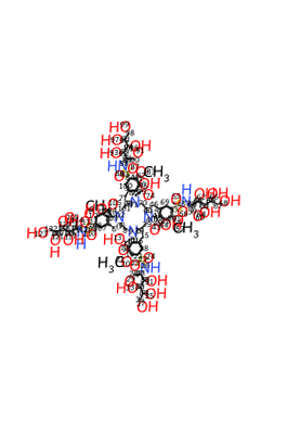 COc1ccc(C[C@H]2CN(CC(=O)O)[C@@H](Cc3ccc(OC)c(S(=O)(=O)N[C@@H](C=O)[C@@H](O)[C@H](O)[C@H](O)CO)c3)CN(CC(=O)O)[C@@H](Cc3ccc(OC)c(S(=O)(=O)N[C@@H](C=O)[C@@H](O)[C@H](O)[C@H](O)CO)c3)CN(CC(=O)O)[C@@H](Cc3ccc(OC)c(S(=O)(=O)N[C@@H](C=O)[C@@H](O)[C@H](O)[C@H](O)CO)c3)CN2CC(=O)O)cc1S(=O)(=O)N[C@@H](C=O)[C@@H](O)[C@H](O)[C@H](O)CO